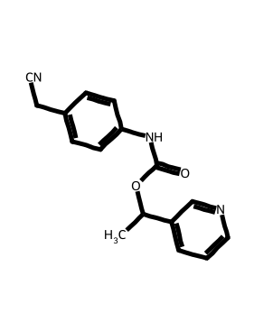 CC(OC(=O)Nc1ccc(CC#N)cc1)c1cccnc1